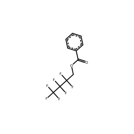 O=C(OCC(F)(F)C(F)(F)C(F)(F)F)c1ccccc1